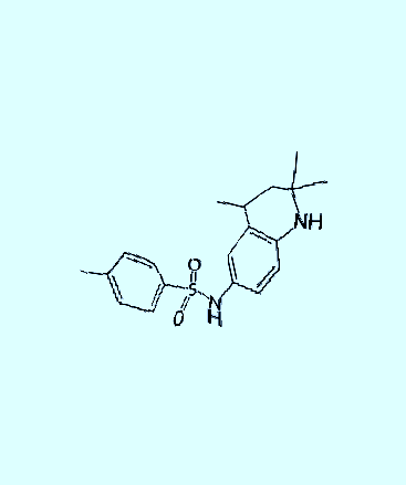 Cc1ccc(S(=O)(=O)Nc2ccc3c(c2)C(C)CC(C)(C)N3)cc1